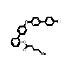 CCC(C)CCCC(=O)Oc1ccccc1-c1ccc(Oc2ccc(-c3ccc(Cl)cc3)cc2)cc1